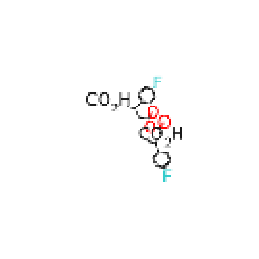 O=C(O)CC(CC(=O)OC(=O)CC(CC(=O)O)c1ccc(F)cc1)c1ccc(F)cc1